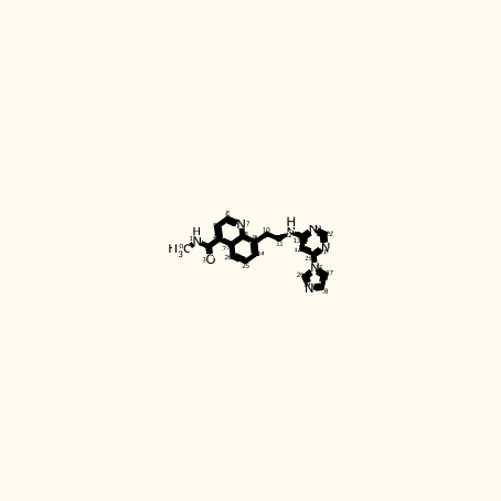 CNC(=O)C1=CC=NC2C(CCNc3cc(-n4ccnc4)ncn3)=CC=CC12